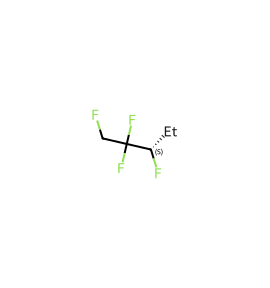 [CH2]C[C@H](F)C(F)(F)CF